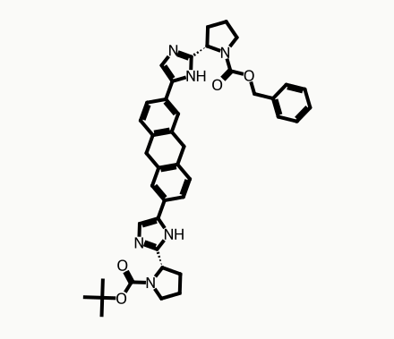 CC(C)(C)OC(=O)N1CCC[C@H]1c1ncc(-c2ccc3c(c2)Cc2ccc(-c4cnc([C@@H]5CCCN5C(=O)OCc5ccccc5)[nH]4)cc2C3)[nH]1